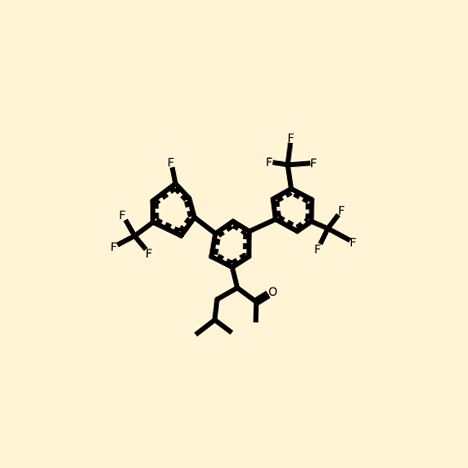 CC(=O)C(CC(C)C)c1cc(-c2cc(F)cc(C(F)(F)F)c2)cc(-c2cc(C(F)(F)F)cc(C(F)(F)F)c2)c1